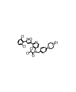 CCN1CCN(c2ccc(CN(C(=O)C(Cl)Cl)c3ccnc(-c4cc(-c5c(Cl)cccc5Cl)no4)c3)cc2)CC1